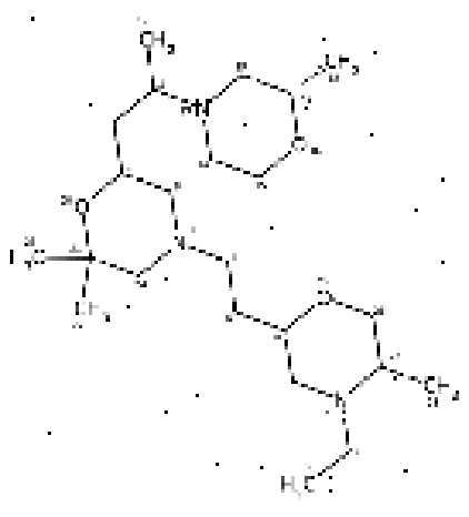 CCN1CC(CCN2CC(CC(C)N3CCO[C@@H](C)C3)OC(C)(C)C2)OCC1C